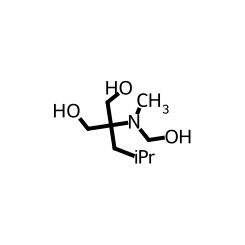 CC(C)CC(CO)(CO)N(C)CO